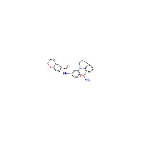 Cc1ccc(NC(=O)c2ccc3c(c2)OCCO3)cc1N1c2c(cccc2C(N)=O)CCC1C